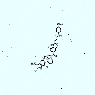 COC1CCC(NC/C=C/C(=O)Nc2c(F)cc(C(=O)c3cc(I)c4c(-c5c(C)cc6c(nc(C)n6C)c5Cl)cccn34)cc2F)CC1